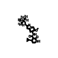 [2H]C([2H])([2H])C(O)(CCc1cc2cc(NC(=O)c3c(C4CC4)cc[nH]c3=O)c(OC)cn2n1)C([2H])([2H])[2H]